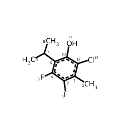 Cc1c(F)c(F)c(C(C)C)c(O)c1Cl